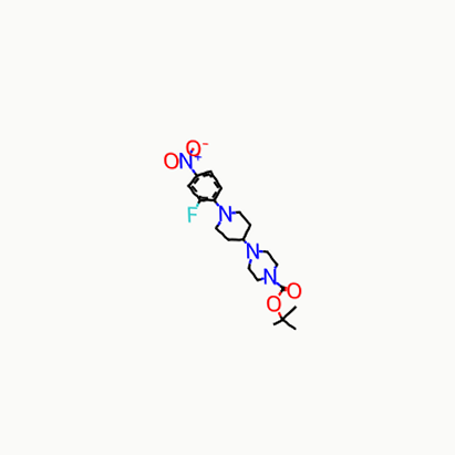 CC(C)(C)OC(=O)N1CCN(C2CCN(c3ccc([N+](=O)[O-])cc3F)CC2)CC1